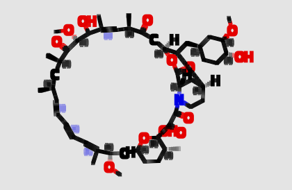 CO[C@H]1C[C@@H]2CC[C@@H](C)[C@@](O)(O2)C(=O)C(=O)N2CC[C@H]3C[C@H]2C(=O)O[C@@H](CC(=O)[C@H](C)/C=C(\C)C(O)[C@@H](OC)C(=O)[C@H](C)C[C@H](C)/C=C/C=C/C=C/1C)C3C[C@@H]1CC[C@@H](O)[C@H](OC)C1